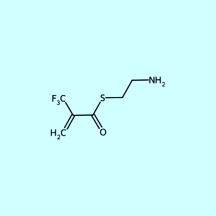 C=C(C(=O)SCCN)C(F)(F)F